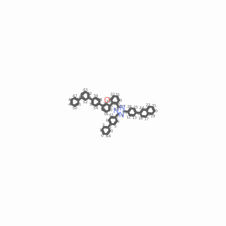 c1ccc(-c2ccc(-c3nc(-c4ccc(-c5ccc6ccccc6c5)cc4)nc(-c4cccc5oc6c(-c7ccc(-c8cccc(-c9ccccc9)c8)cc7)cccc6c45)n3)cc2)cc1